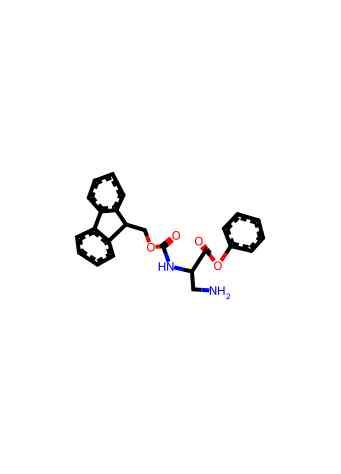 NCC(NC(=O)OCC1c2ccccc2-c2ccccc21)C(=O)Oc1ccccc1